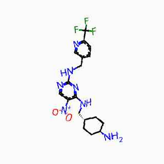 N[C@H]1CC[C@H](CNc2nc(NCc3ccc(C(F)(F)F)nc3)ncc2[N+](=O)[O-])CC1